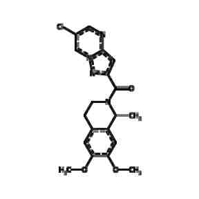 COc1cc2c(cc1OC)C(C)N(C(=O)c1cc3ncc(Cl)cn3n1)CC2